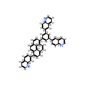 c1cnc2ccc(-c3cc(-c4ccc5ncccc5c4)cc(-c4ccc5ccc6c(-c7ccc8cccnc8c7)ccc7ccc4c5c76)c3)cc2c1